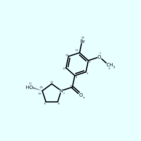 COc1cc(C(=O)N2CC[C@H](O)C2)ccc1Br